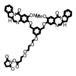 COc1cc2c(cc1OCc1cc(COc3cc4c(cc3OC)C(=O)N3c5ccccc5C[C@H]3C=N4)cc(OCOCCOOCCC(=O)ON3C(=O)CCC3=O)c1)N=C[C@@H]1Cc3ccccc3N1C2=O